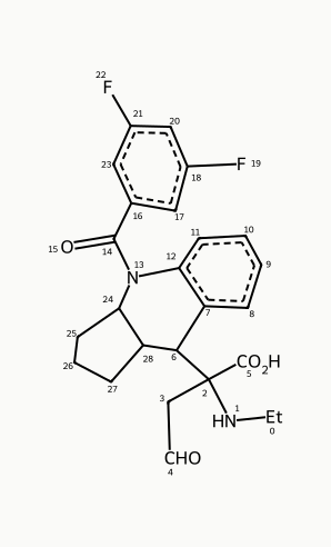 CCNC(CC=O)(C(=O)O)C1c2ccccc2N(C(=O)c2cc(F)cc(F)c2)C2CCCC21